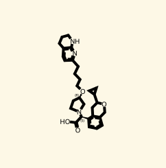 O=C(O)[C@H](c1cccc2c1CC(C1CC1)OC2)N1CC[C@@H](OCCCCc2ccc3c(n2)NCCC3)C1